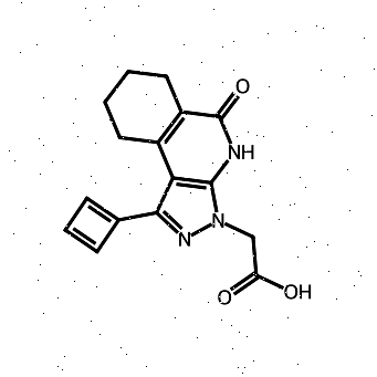 O=C(O)Cn1nc(C2=CC=C2)c2c3c(c(=O)[nH]c21)CCCC3